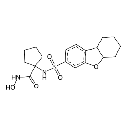 O=C(NO)C1(NS(=O)(=O)c2ccc3c(c2)OC2CCCCC32)CCCC1